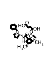 CSc1cc(C(=O)NC[C@@H]2CCCN2Cc2ccccc2)c2c(c1)N(C)CCO2.O=C(O)C=CC(=O)O